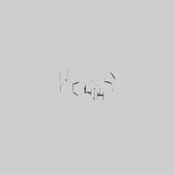 CNC(Cc1cc(C(F)(F)F)ccc1N)c1sccc1C